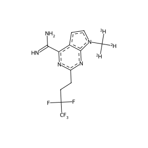 [2H]C([2H])([2H])n1ccc2c(C(=N)N)nc(CCC(F)(F)C(F)(F)F)nc21